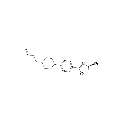 C=CCCC1CCC(c2ccc(C3=N[C@@H](C(C)C)CO3)cc2)CC1